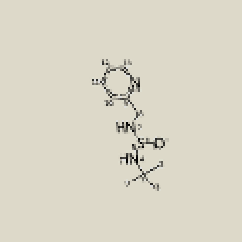 CC(C)(C)N[S+]([O-])NCc1ccccn1